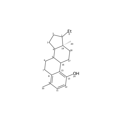 CCC1CCC2C3CCc4c(C)ccc(O)c4C3CC[C@]12C